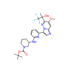 COc1cc2ncc(-c3cccc(NC4CCCN(C(=O)OC(C)(C)C)C4)n3)n2nc1C(C)(O)C(F)(F)F